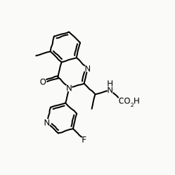 Cc1cccc2nc(C(C)NC(=O)O)n(-c3cncc(F)c3)c(=O)c12